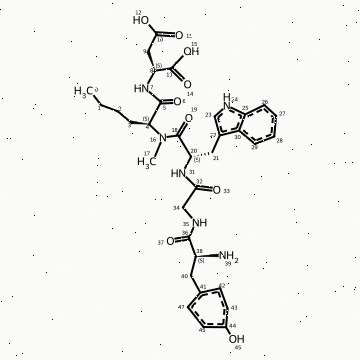 CCCC[C@@H](C(=O)N[C@@H](CC(=O)O)C(=O)O)N(C)C(=O)[C@H](Cc1c[nH]c2ccccc12)NC(=O)CNC(=O)[C@@H](N)Cc1ccc(O)cc1